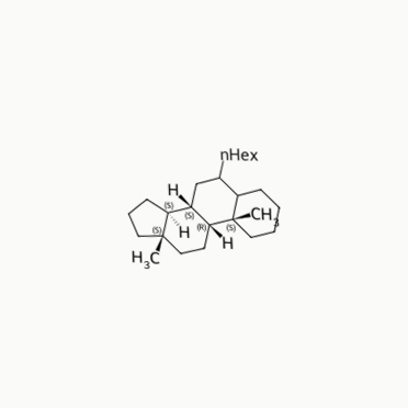 CCCCCCC1C[C@@H]2[C@@H](CC[C@]3(C)CCC[C@@H]23)[C@@]2(C)CCCCC12